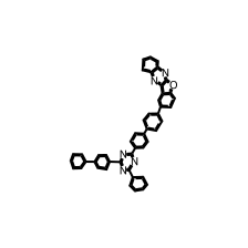 c1ccc(-c2ccc(-c3nc(-c4ccccc4)nc(-c4ccc(-c5ccc(-c6ccc7oc8nc9ccccc9nc8c7c6)cc5)cc4)n3)cc2)cc1